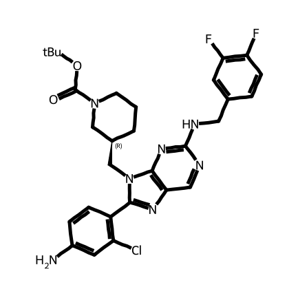 CC(C)(C)OC(=O)N1CCC[C@@H](Cn2c(-c3ccc(N)cc3Cl)nc3cnc(NCc4ccc(F)c(F)c4)nc32)C1